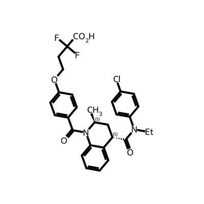 CCN(C(=O)[C@H]1C[C@H](C)N(C(=O)c2ccc(OCCC(F)(F)C(=O)O)cc2)c2ccccc21)c1ccc(Cl)cc1